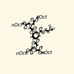 CCCCCCCCOC(=O)CN(CC(=O)OCCCCCCCC)CC(=O)O[C@H]1C=C[C@H](OC(=O)CN(CC(=O)OCCCCCCCC)CC(=O)OCCCCCCCC)CN(C(=O)OCCN(C)C)C1